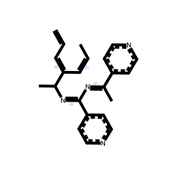 C=C/C=C(\C=C/C)C(C)/N=C(\N=C(/C)c1ccncc1)c1ccncc1